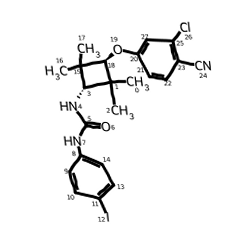 CC1(C)[C@H](NC(=O)Nc2ccc(I)cc2)C(C)(C)[C@H]1Oc1ccc(C#N)c(Cl)c1